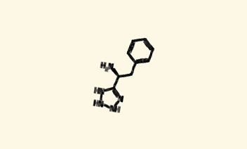 N[C@@H](Cc1ccccc1)C1=NNNN1